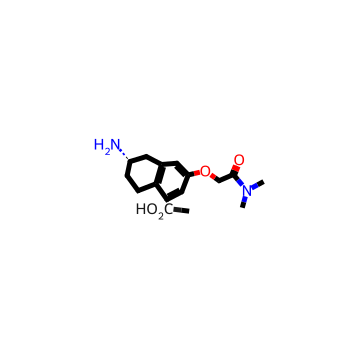 CC(=O)O.CN(C)C(=O)COc1ccc2c(c1)C[C@@H](N)CC2